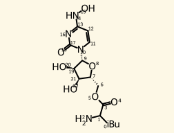 CCC(C)C(N)C(=O)OC[C@H]1O[C@@H](n2ccc(NO)nc2=O)[C@H](O)[C@@H]1O